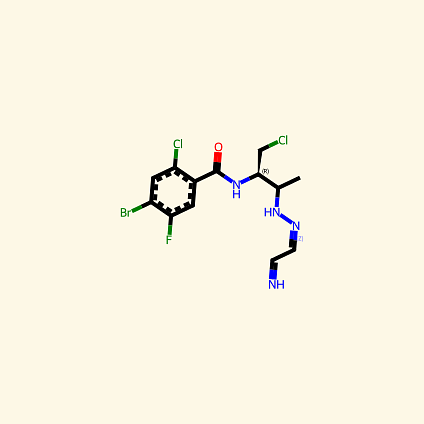 CC(N/N=C\C=N)[C@H](CCl)NC(=O)c1cc(F)c(Br)cc1Cl